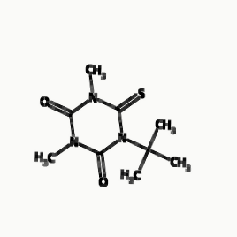 Cn1c(=O)n(C)c(=S)n(C(C)(C)C)c1=O